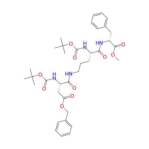 COC(=O)[C@@H](Cc1ccccc1)NC(=O)[C@H](CCCNC(=O)[C@H](CC(=O)OCc1ccccc1)NC(=O)OC(C)(C)C)NC(=O)OC(C)(C)C